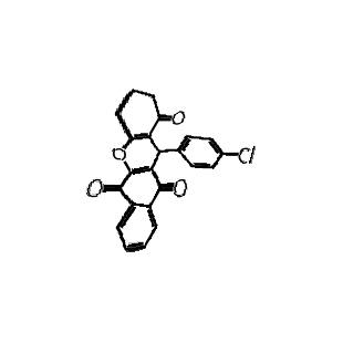 O=C1CCCC2=C1C(c1ccc(Cl)cc1)C1=C(O2)C(=O)c2ccccc2C1=O